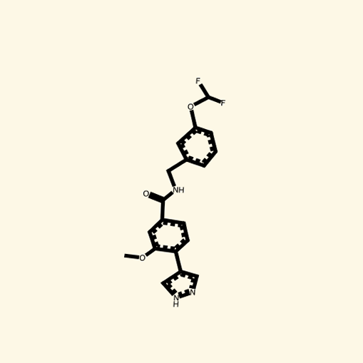 COc1cc(C(=O)NCc2cccc(OC(F)F)c2)ccc1-c1cn[nH]c1